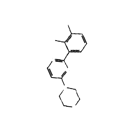 Cc1cccc(-c2nccc(N3CCOCC3)n2)c1Cl